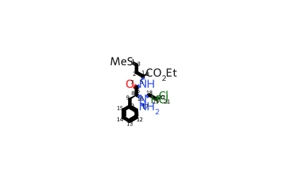 CCOC(=O)[C@H](CCSC)NC(=O)[C@H](Cc1ccccc1)N(N)CCCl.Cl